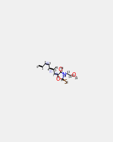 C=C\C=C/C=C(C)/C=C1/OC(=S)N(CCOC)C1=O